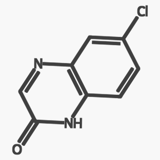 O=c1cnc2cc(Cl)ccc2[nH]1